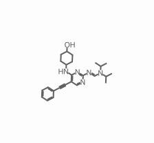 CC(C)N(/C=N/c1ncc(C#Cc2ccccc2)c(NC2CCC(O)CC2)n1)C(C)C